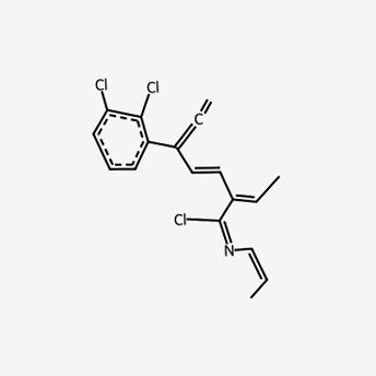 C=C=C(/C=C/C(=C\C)C(/Cl)=N\C=C/C)c1cccc(Cl)c1Cl